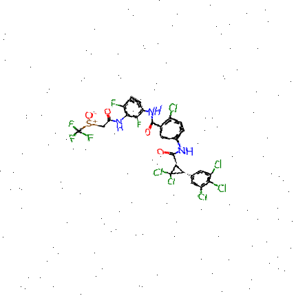 O=C(C[S+]([O-])C(F)(F)F)Nc1c(F)ccc(NC(=O)c2cc(NC(=O)[C@H]3[C@H](c4cc(Cl)c(Cl)c(Cl)c4)C3(Cl)Cl)ccc2Cl)c1F